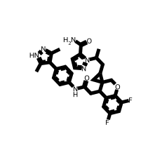 Cc1n[nH]c(C)c1-c1ccc(NC(=O)CC2c3cc(F)cc(F)c3OCC23CC3CC(C)n2nccc2C(N)=O)cc1